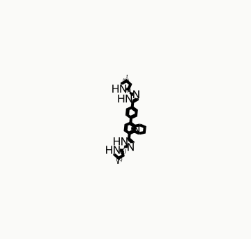 C[C@H]1CN[C@H](c2ncc(-c3ccc(-c4ccc(-c5cnc([C@@H]6C[C@@H](C)CN6)[nH]5)c5c4C4CCC5N4C)cc3)[nH]2)C1